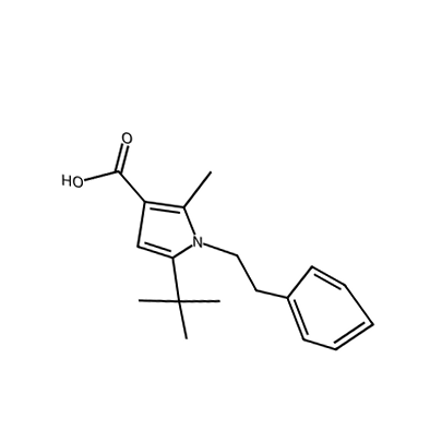 Cc1c(C(=O)O)cc(C(C)(C)C)n1CCc1ccccc1